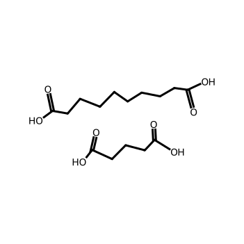 O=C(O)CCCC(=O)O.O=C(O)CCCCCCCCC(=O)O